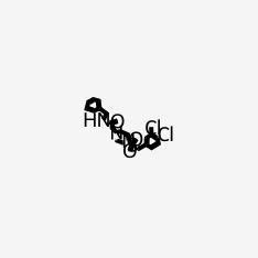 O=C(CN1CCN(S(=O)(=O)Cc2ccc(Cl)c(Cl)c2)CC1)NCc1ccccc1